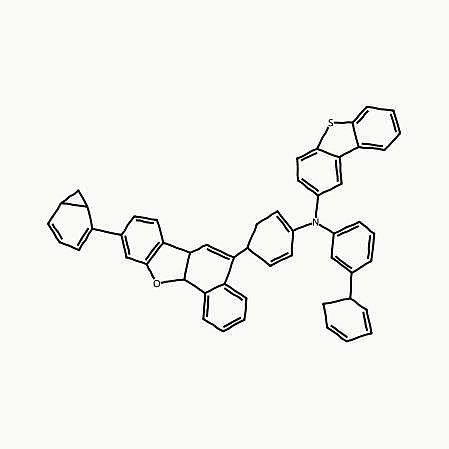 C1=CCC(c2cccc(N(C3=CCC(C4=CC5c6ccc(C7=CC=CC8CC78)cc6OC5c5ccccc54)C=C3)c3ccc4sc5ccccc5c4c3)c2)C=C1